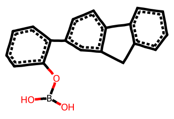 OB(O)Oc1ccccc1-c1ccc2c(c1)Cc1ccccc1-2